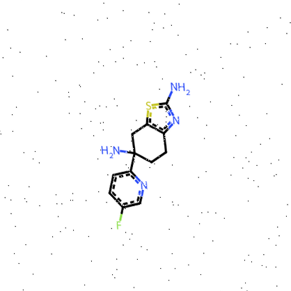 Nc1nc2c(s1)CC(N)(c1ccc(F)cn1)CC2